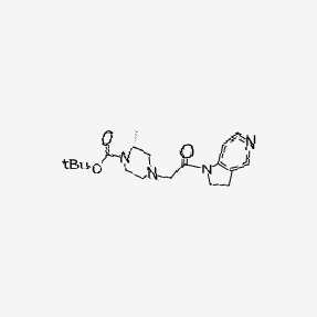 C[C@@H]1CN(CC(=O)N2CCc3cnccc32)CCN1C(=O)OC(C)(C)C